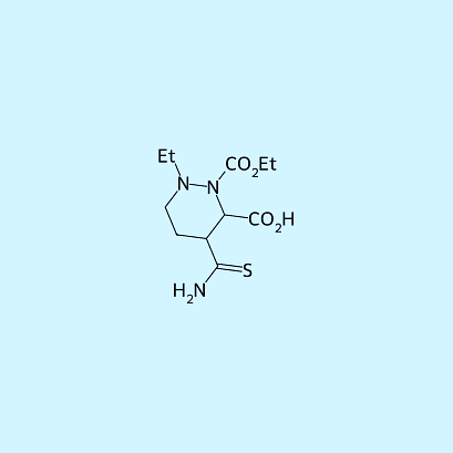 CCOC(=O)N1C(C(=O)O)C(C(N)=S)CCN1CC